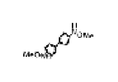 CONc1ccc(-c2ccc(NOC)cc2)cc1